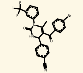 CC1=C(C(=O)c2ccc(Br)cc2)C(c2ccc(C#N)cc2)NC(=O)N1c1cccc(C(F)(F)F)c1